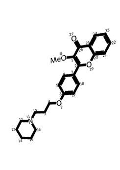 COc1c(-c2ccc(OCCCN3CCCCC3)cc2)oc2ccccc2c1=O